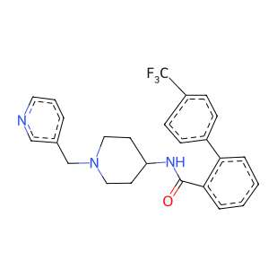 O=C(NC1CCN(Cc2cccnc2)CC1)c1ccccc1-c1ccc(C(F)(F)F)cc1